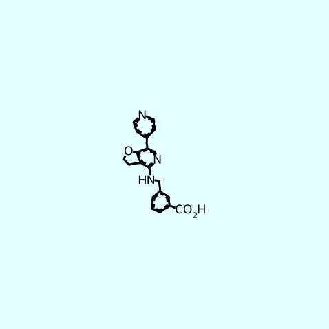 O=C(O)c1cccc(CNc2ncc(-c3ccncc3)c3c2CCO3)c1